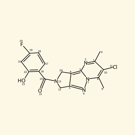 Cc1nc2c3c(nn2c(C)c1Cl)CN(C(=O)c1ccc(F)cc1O)C3